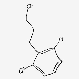 [O]CCCc1c(Cl)cccc1Cl